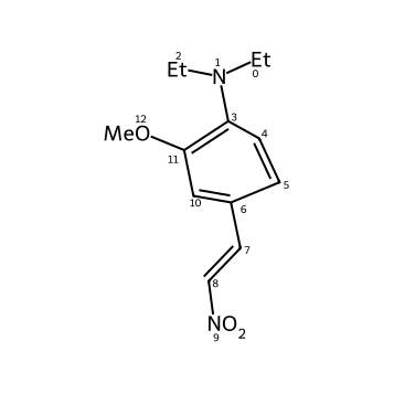 CCN(CC)c1ccc(C=C[N+](=O)[O-])cc1OC